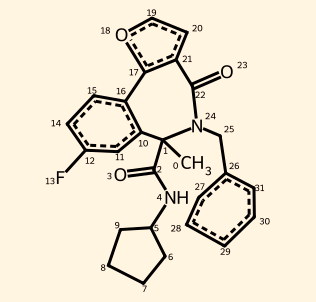 CC1(C(=O)NC2CCCC2)c2cc(F)ccc2-c2occc2C(=O)N1Cc1ccccc1